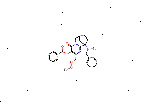 CCOOCc1nc2n(c(=O)c1OC(=O)c1ccccc1)CC1CCC2(N(CC)Cc2ccccc2)CC1